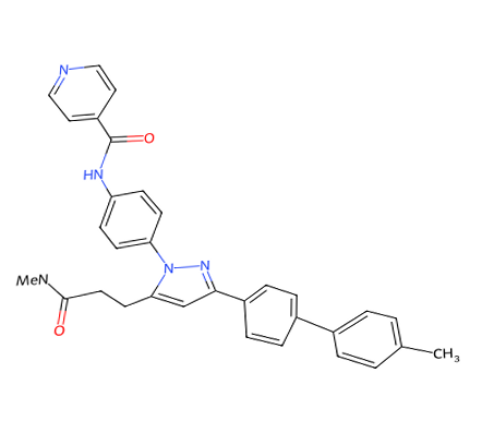 CNC(=O)CCc1cc(-c2ccc(-c3ccc(C)cc3)cc2)nn1-c1ccc(NC(=O)c2ccncc2)cc1